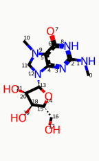 CNc1nc2c(c(=O)[nH]1)N(C)CN2[C@@H]1O[C@H](CO)[C@@H](O)[C@H]1O